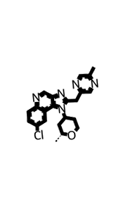 Cc1cnc(Cc2nc3cnc4ccc(Cl)cc4c3n2C2CCO[C@H](C)C2)cn1